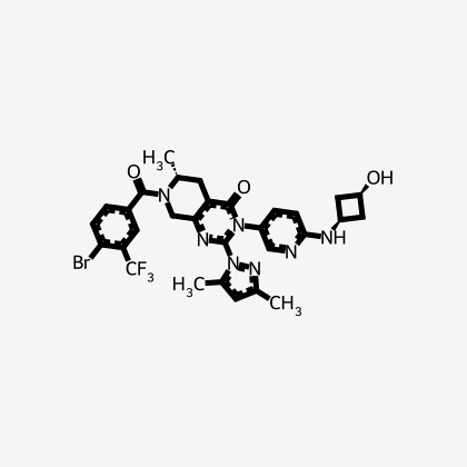 Cc1cc(C)n(-c2nc3c(c(=O)n2-c2ccc(N[C@H]4C[C@@H](O)C4)nc2)C[C@@H](C)N(C(=O)c2ccc(Br)c(C(F)(F)F)c2)C3)n1